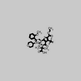 CCOC(=O)c1sc2c(c1C(F)(F)F)C(=O)N(C(C)(C)C(=O)O)S(=O)(=O)N2C[C@H](OC1CCOCC1)c1ccccc1OC